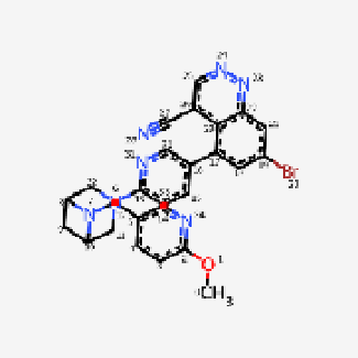 COc1ccc(CN2C3CC2CN(c2ccc(-c4cc(Br)cc5nncc(C#N)c45)cn2)C3)cn1